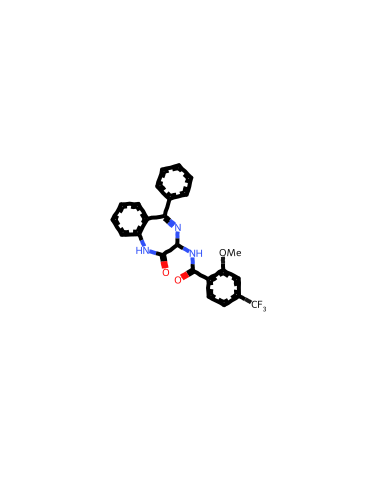 COc1cc(C(F)(F)F)ccc1C(=O)NC1N=C(c2ccccc2)c2ccccc2NC1=O